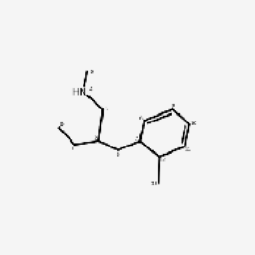 CCC(CNC)CC1C=CC=CC1C